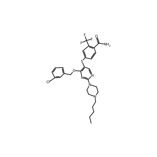 CCCCCN1CCN(c2ncc(Sc3ccc(C(N)=O)c(C(F)(F)F)c3)c(OCc3cccc(Cl)c3)n2)CC1